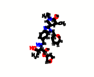 Cc1cc(-c2nc3ccc(CN[C@H](C(=O)OC4CCOC4)[C@H](C)O)cc3n2CC2CCCCO2)cn(C)c1=O